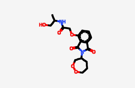 CC(CO)NC(=O)COc1cccc2c1C(=O)N(C1CCCOOC1)C2=O